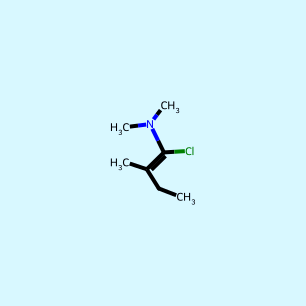 CCC(C)=C(Cl)N(C)C